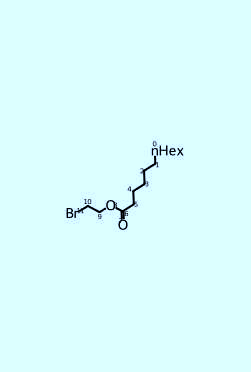 CCCCCCCCCCCC(=O)OCCBr